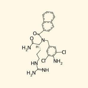 N=C(N)NCCC[C@H](C(N)=O)N(Cc1cc(Cl)c(N)c(Cl)c1)C(=O)c1ccc2ccccc2c1